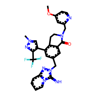 COc1ccnc(CN2CCc3c(cc(Cn4nc5ccccn5c4=N)cc3-c3cn(C)nc3C(F)(F)F)C2=O)c1